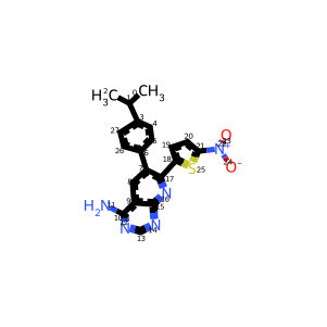 CC(C)c1ccc(-c2cc3c(N)ncnc3nc2-c2ccc([N+](=O)[O-])s2)cc1